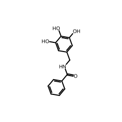 O=C(NCc1cc(O)c(O)c(O)c1)c1ccccc1